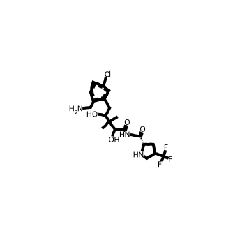 CC(C)(C(O)Cc1cc(Cl)ccc1CN)C(O)C(=O)NC(=O)[C@@H]1CC(C(F)(F)F)CN1